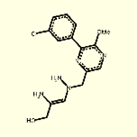 COc1ncc(CN(N)/C=C(\N)CO)nc1-c1cccc(Cl)c1